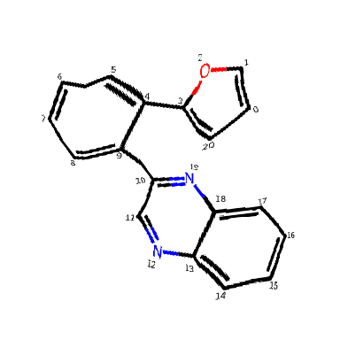 c1coc(-c2ccccc2-c2cnc3ccccc3n2)c1